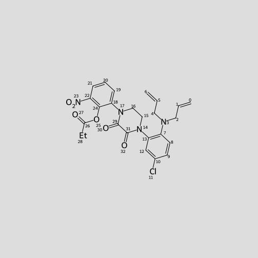 C=CCN(CC=C)c1ccc(Cl)cc1N1CCN(c2cccc([N+](=O)[O-])c2OC(=O)CC)C(=O)C1=O